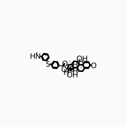 CNc1cccc(Sc2ccc([C@@H]3O[C@@H]4C[C@H]5[C@@H]6CCC7=CC(=O)C=C[C@]7(C)[C@H]6[C@@H](O)C[C@]5(C)[C@]4(C(=O)CO)O3)cc2)c1